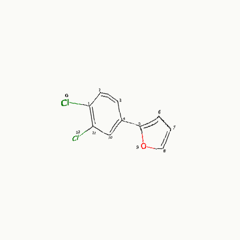 Clc1ccc(-c2ccco2)cc1Cl